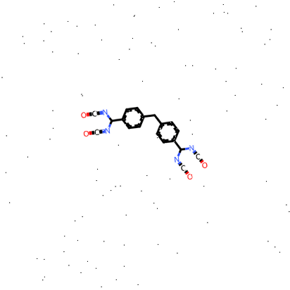 O=C=NC(N=C=O)c1ccc(Cc2ccc(C(N=C=O)N=C=O)cc2)cc1